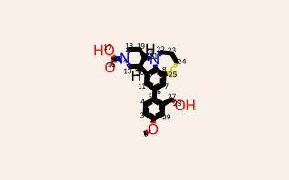 COc1ccc(-c2cc3c4c(c2)[C@@H]2CN(C(=O)O)CC[C@@H]2N4CCCS3)c(CO)c1